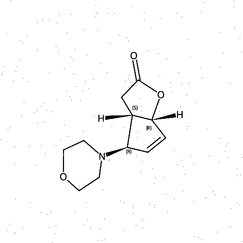 O=C1C[C@H]2[C@H](N3CCOCC3)C=C[C@H]2O1